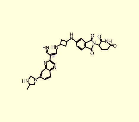 CC1CN(c2ccc3ncc(/C(C=N)=C/NC4CC(Nc5ccc6c(c5)C(=O)N(C5CCC(=O)NC5=O)C6=O)C4)nc3c2)CN1